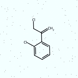 C=C(CCl)c1ccccc1Cl